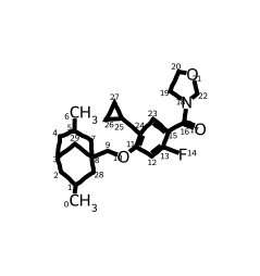 CC1CC2CC(C)CC(COc3cc(F)c(C(=O)N4CCOC4)cc3C3CC3)(C1)C2